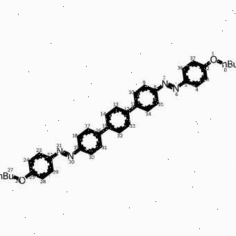 CCCCOc1ccc(/N=N/c2ccc(-c3ccc(-c4ccc(/N=N/c5ccc(OCCCC)cc5)cc4)cc3)cc2)cc1